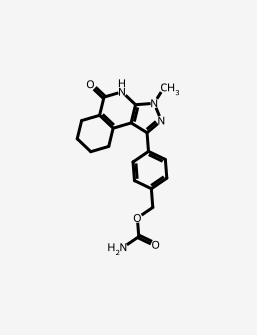 Cn1nc(-c2ccc(COC(N)=O)cc2)c2c3c(c(=O)[nH]c21)CCCC3